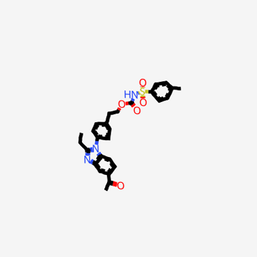 CCc1nc2cc(C(C)=O)ccc2n1-c1ccc(CCOC(=O)NS(=O)(=O)c2ccc(C)cc2)cc1